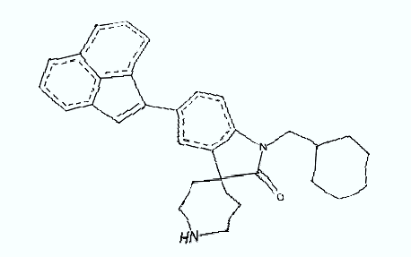 O=C1N(CC2CCCCC2)c2ccc(C3=Cc4cccc5cccc3c45)cc2C12CCNCC2